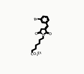 CCOC(=O)CCCCCCN1C(=O)C/C(=C\c2cccc(Br)c2)C1=O